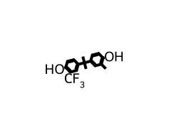 Cc1cc(C(C)(C)c2ccc(O)c(C(F)(F)F)c2)ccc1O